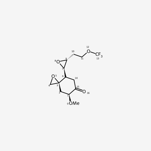 CO[C@H]1C[C@]2(CO2)C([C@H]2O[C@@H]2CCOC(F)(F)F)CC1=O